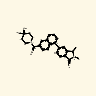 CC1c2cc(-c3cccc4cc(C(=O)N5CCC(F)(F)CC5)ccc34)ccc2C(=O)N1C